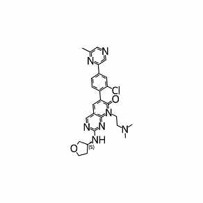 Cc1cncc(-c2ccc(-c3cc4cnc(N[C@H]5CCOC5)nc4n(CCN(C)C)c3=O)c(Cl)c2)n1